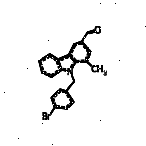 Cc1cc(C=O)cc2c3ccccc3n(Cc3ccc(Br)cc3)c12